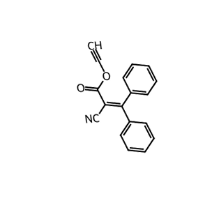 C#COC(=O)C(C#N)=C(c1ccccc1)c1ccccc1